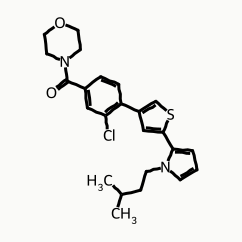 CC(C)CCn1cccc1-c1cc(-c2ccc(C(=O)N3CCOCC3)cc2Cl)cs1